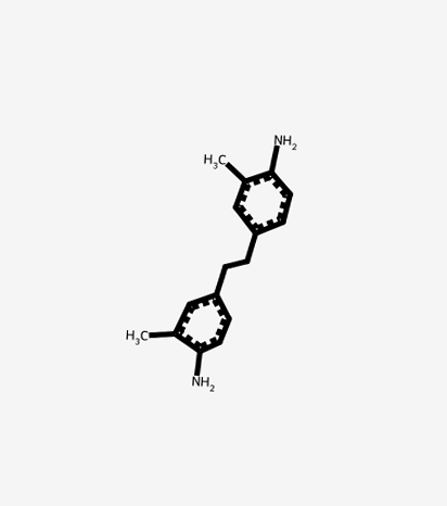 Cc1cc(CCc2ccc(N)c(C)c2)ccc1N